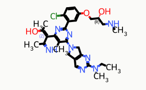 CCN(C)c1ncc2c(n1)CN(c1nc(-c3cc(OC[C@H](O)CNC)ccc3Cl)nc(/C(C(C)=N)=C(\C)O)c1C)C2